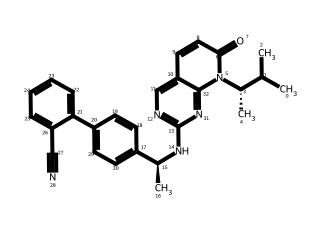 CC(C)[C@H](C)n1c(=O)ccc2cnc(N[C@@H](C)c3ccc(-c4ccccc4C#N)cc3)nc21